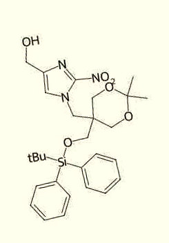 CC1(C)OCC(CO[Si](c2ccccc2)(c2ccccc2)C(C)(C)C)(Cn2cc(CO)nc2[N+](=O)[O-])CO1